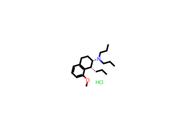 CCC[C@@H]1c2c(cccc2OC)CC[C@@H]1N(CCC)CCC.Cl